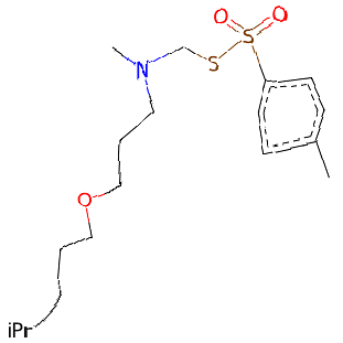 Cc1ccc(S(=O)(=O)SCN(C)CCCOCCCC(C)C)cc1